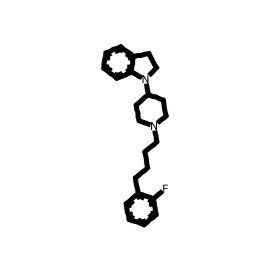 Fc1ccccc1CCCCN1CCC(N2CCc3ccccc32)CC1